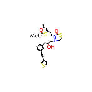 C=C/C=C(/CCN1C(=O)SCCN1CCC(O)Cc1cccc(C#Cc2ccsc2)c1)SC(=O)OC